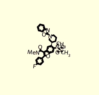 CNC(=O)c1c(-c2ccc(F)cc2)oc2cc(N(C)S(C)(=O)=O)c([C@@H]3CCCN(c4nc5ccccc5o4)C3)cc12